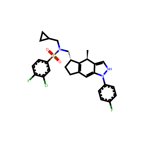 C[C@H]1C2=CNN(c3ccc(F)cc3)C2=CC2=C1[C@@H](CN(CC1CC1)S(=O)(=O)c1ccc(F)c(Cl)c1)CC2